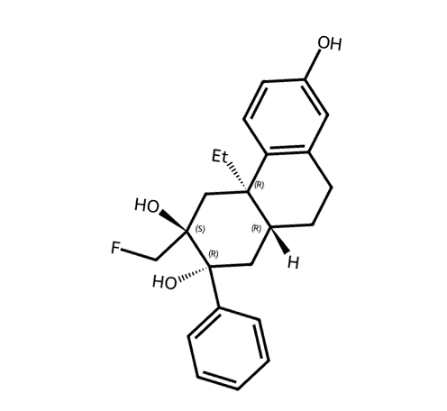 CC[C@@]12C[C@@](O)(CF)[C@](O)(c3ccccc3)C[C@H]1CCc1cc(O)ccc12